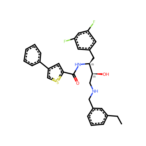 CCc1cccc(CNC[C@H](O)[C@H](Cc2cc(F)cc(F)c2)NC(=O)c2cc(-c3ccccc3)cs2)c1